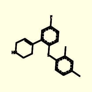 Cc1ccc(Sc2ccc(F)cc2C2=CCNCC2)c(C)c1